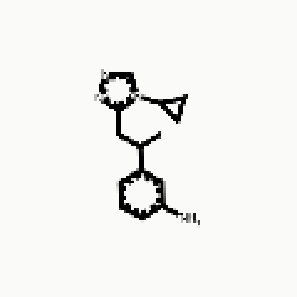 CC(Cc1nncn1C1CC1)c1cccc(N)c1